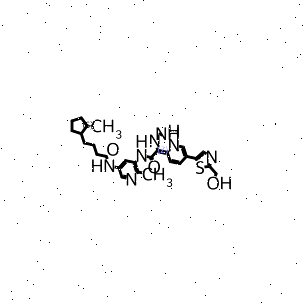 Cc1ncc(NC(=O)CCCC2CCC[C@@H]2C)cc1NC(=O)/C(N=N)=C1\C=CC(c2cnc(CO)s2)=CN1